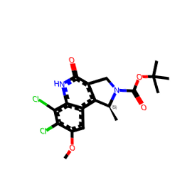 COc1cc2c3c(c(=O)[nH]c2c(Cl)c1Cl)CN(C(=O)OC(C)(C)C)[C@H]3C